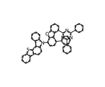 c1ccc(-c2nc(-c3ccccc3)nc(-c3cccc4oc5c(-n6c7ccccc7c7c8sc9ccccc9c8ccc76)ccc(-c6ccccc6)c5c34)n2)cc1